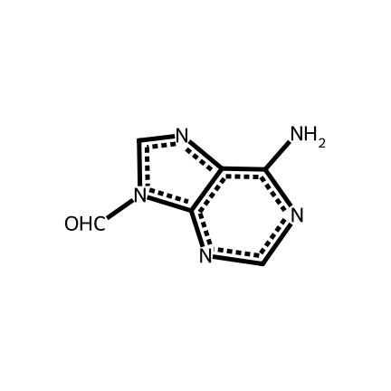 Nc1ncnc2c1ncn2C=O